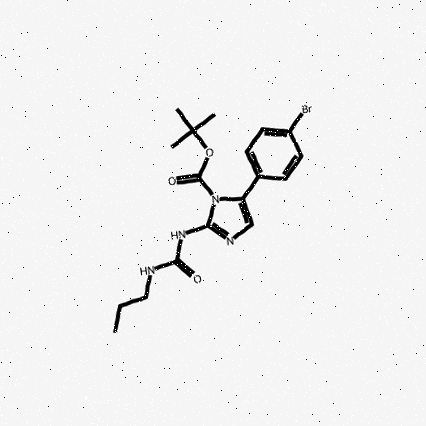 CCCNC(=O)Nc1ncc(-c2ccc(Br)cc2)n1C(=O)OC(C)(C)C